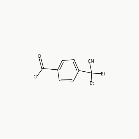 CCC(C#N)(CC)c1ccc(C(=O)Cl)cc1